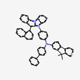 CC1(C)c2ccccc2-c2ccc(N(c3ccc(-c4ccccc4)cc3)c3ccc(-n4c5ccccc5n5c6ccccc6c(-c6cccc7ccccc67)c45)cc3)cc21